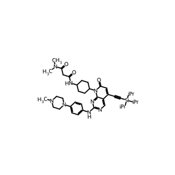 CC(C)[Si](C#Cc1cc(=O)n(C2CCC(NC(=O)CC(=O)N(C)C)CC2)c2nc(Nc3ccc(N4CCN(C)CC4)cc3)ncc12)(C(C)C)C(C)C